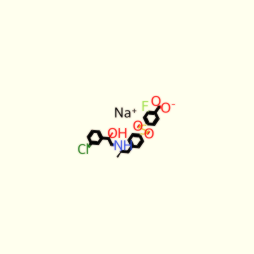 C[C@H](Cc1ccc(S(=O)(=O)c2ccc(C(=O)[O-])c(F)c2)cc1)NC[C@H](O)c1cccc(Cl)c1.[Na+]